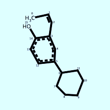 C/C=C\c1cc(C2CCCCC2)ccc1O